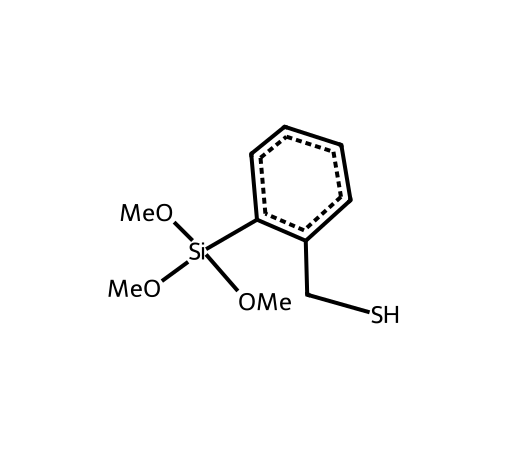 CO[Si](OC)(OC)c1ccccc1CS